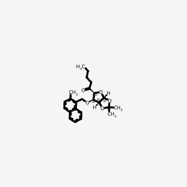 CCCCC(=O)[C@H]1O[C@@H]2OC(C)(C)O[C@@H]2[C@H]1OCc1c(C)ccc2ccccc12